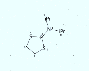 CC(C)N(C(C)C)P1SCCS1